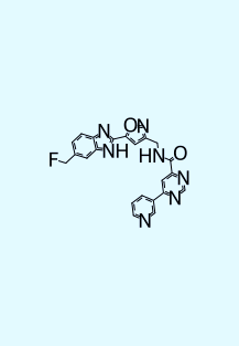 O=C(NCc1cc(-c2nc3ccc(CF)cc3[nH]2)on1)c1cc(-c2cccnc2)ncn1